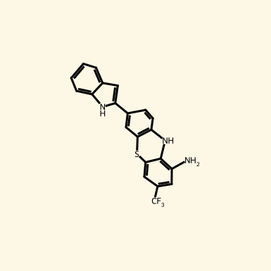 Nc1cc(C(F)(F)F)cc2c1Nc1ccc(-c3cc4ccccc4[nH]3)cc1S2